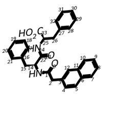 O=C(Cc1ccc2ccccc2c1)N[C@@H](Cc1ccccc1)C(=O)N[C@H](Cc1ccccc1)C(=O)O